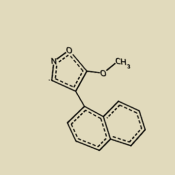 COc1on[c]c1-c1cccc2ccccc12